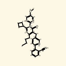 CCCCc1nc(C2CCC2)n(-c2ncc(OC)cn2)c(=O)c1Cc1ccc(-c2ccccc2C#N)nc1